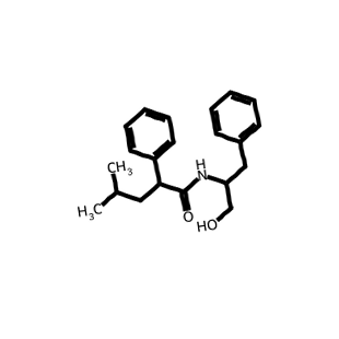 CC(C)CC(C(=O)NC(CO)Cc1ccccc1)c1ccccc1